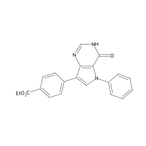 CCOC(=O)c1ccc(-c2cn(-c3ccccc3)c3c(=O)[nH]cnc23)cc1